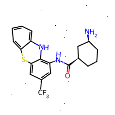 N[C@H]1CCC[C@@H](C(=O)Nc2cc(C(F)(F)F)cc3c2Nc2ccccc2S3)C1